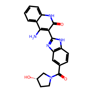 Nc1c(-c2nc3cc(C(=O)N4CC[C@H](O)C4)ccc3[nH]2)c(=O)[nH]c2ccccc12